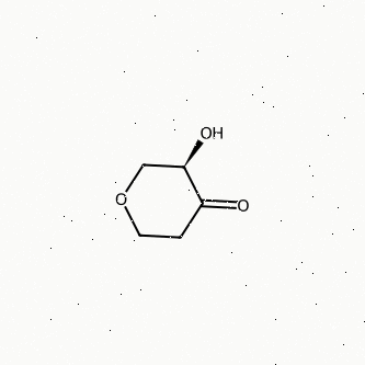 O=C1CCOC[C@H]1O